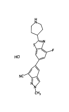 Cl.Cn1cc2cc(-c3cc(F)c4nc(C5CCNCC5)sc4c3)cc(C#N)c2n1